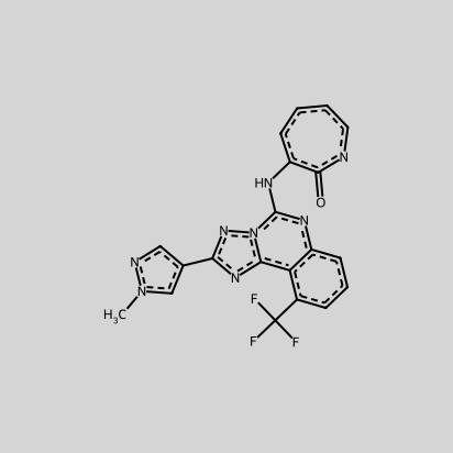 Cn1cc(-c2nc3c4c(C(F)(F)F)cccc4nc(Nc4ccccnc4=O)n3n2)cn1